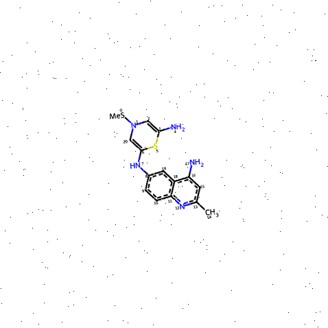 CSN1C=C(N)SC(Nc2ccc3nc(C)cc(N)c3c2)=C1